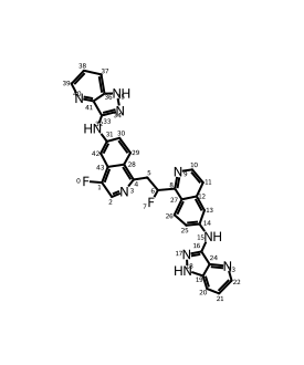 Fc1cnc(CC(F)c2nccc3cc(Nc4n[nH]c5cccnc45)ccc23)c2ccc(Nc3n[nH]c4cccnc34)cc12